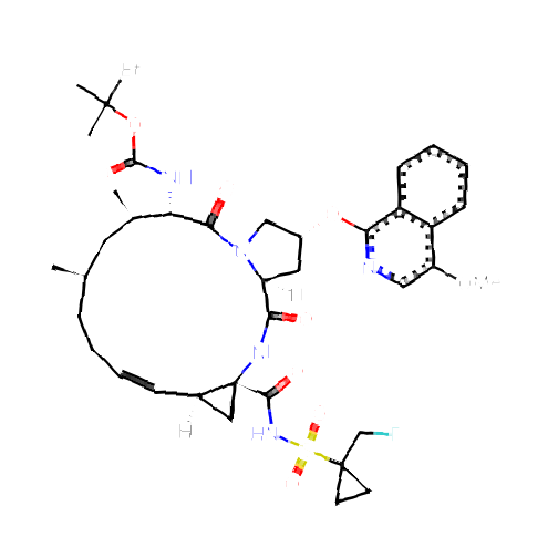 CCC(C)(C)OC(=O)N[C@@H]1C(=O)N2C[C@H](Oc3ncc(OC)c4ccccc34)C[C@H]2C(=O)N[C@]2(C(=O)NS(=O)(=O)C3(CF)CC3)C[C@H]2/C=C\CC[C@@H](C)C[C@H]1C